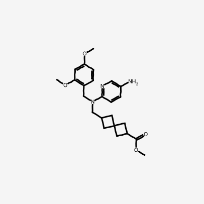 COC(=O)C1CC2(CC(CN(Cc3ccc(OC)cc3OC)c3ccc(N)cn3)C2)C1